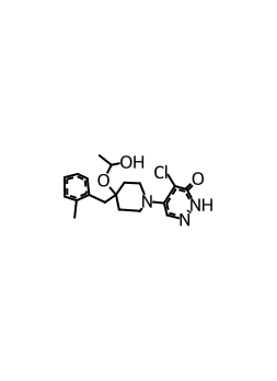 Cc1ccccc1CC1(OC(C)O)CCN(c2cn[nH]c(=O)c2Cl)CC1